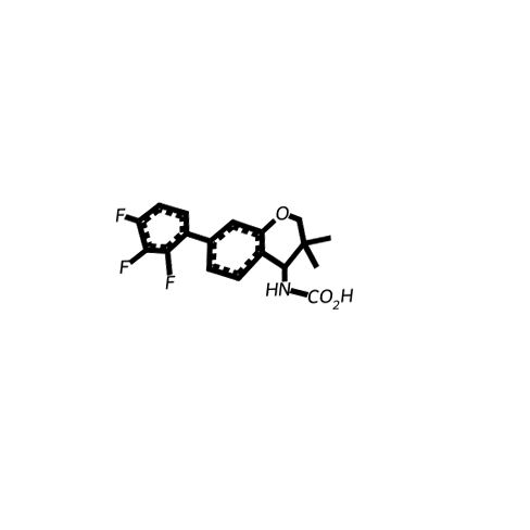 CC1(C)COc2cc(-c3ccc(F)c(F)c3F)ccc2C1NC(=O)O